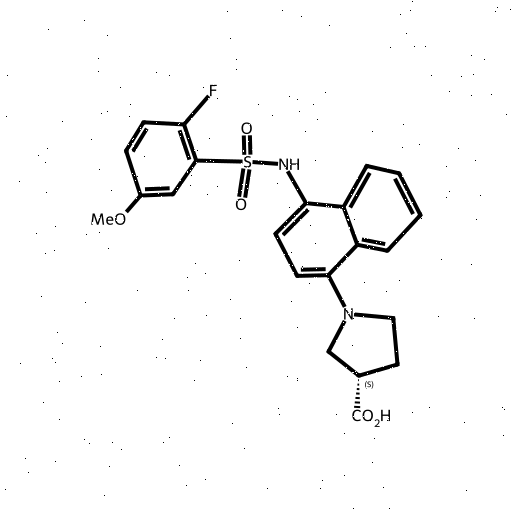 COc1ccc(F)c(S(=O)(=O)Nc2ccc(N3CC[C@H](C(=O)O)C3)c3ccccc23)c1